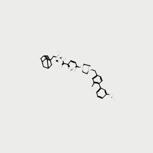 CCOc1cccc(-c2ccc(CN3CCN(c4ccc(C(=O)NS(=O)(=O)CC56CC7CC(CC(C7)C5)C6)nn4)CC3)cc2C)c1